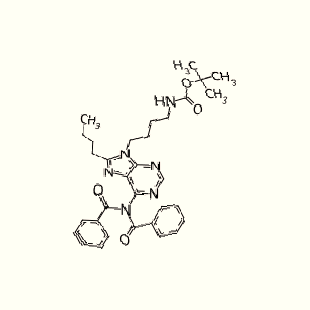 CCCCc1nc2c(N(C(=O)c3cc#ccc3)C(=O)c3ccccc3)ncnc2n1CCCCNC(=O)OC(C)(C)C